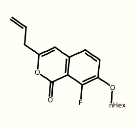 C=CCc1cc2ccc(OCCCCCC)c(F)c2c(=O)o1